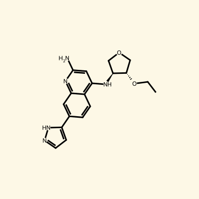 CCO[C@H]1COC[C@@H]1Nc1cc(N)nc2cc(-c3ccn[nH]3)ccc12